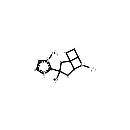 CN1C2CCC23CC(O)(c2nccn2C)CC13